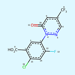 O=C(O)c1cc(-n2ncc(C(F)(F)F)cc2=O)c(F)cc1Cl